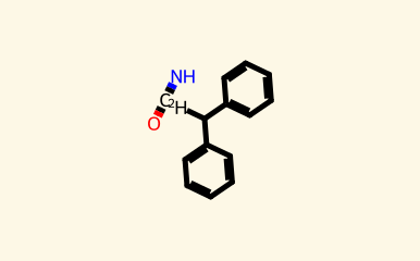 N=C=O.[2H]C(c1ccccc1)c1ccccc1